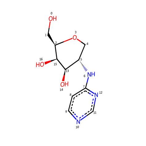 OC[C@H]1OC[C@H](Nc2ccncn2)[C@@H](O)[C@H]1O